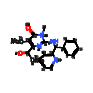 COC(=O)c1nc(NC(c2ccccc2)c2ccccn2)n(C)c(=O)c1OC